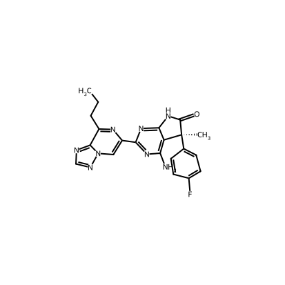 CCCc1nc(-c2nc(N)c3c(n2)NC(=O)[C@@]3(C)c2ccc(F)cc2)cn2ncnc12